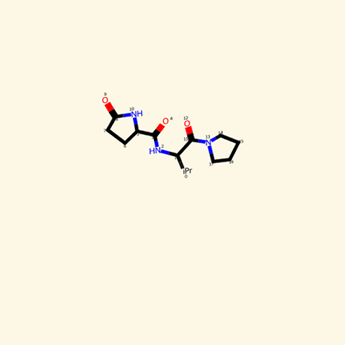 CC(C)C(NC(=O)C1CCC(=O)N1)C(=O)N1CCCC1